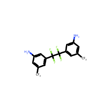 Nc1cc(C(F)(F)F)cc(C(F)(F)C(F)(F)c2cc(N)cc(C(F)(F)F)c2)c1